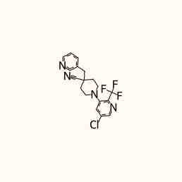 N#CC1(Cc2cccnc2)CCN(c2cc(Cl)cnc2C(F)(F)F)CC1